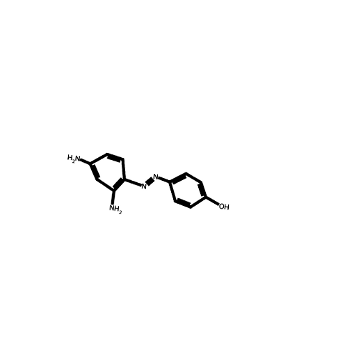 Nc1ccc(N=Nc2ccc(O)cc2)c(N)c1